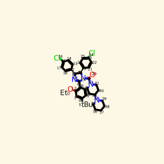 CCOc1cc(C(C)(C)C)ccc1C1=N[C@@H](c2ccc(Cl)cc2)[C@@H](c2ccc(Cl)cc2)N1C(=O)N1CCC(N2CCCCC2)CC1